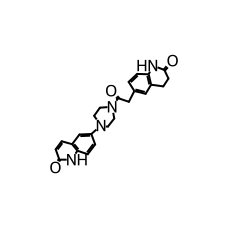 O=C1CCc2cc(CC(=O)N3CCN(c4ccc5[nH]c(=O)ccc5c4)CC3)ccc2N1